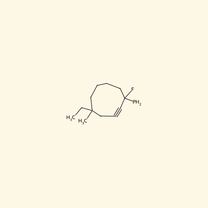 CCC1(C)CC#CC(F)(P)CCCC1